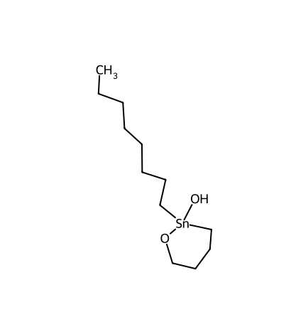 CCCCCCC[CH2][Sn]1([OH])[CH2]CCC[O]1